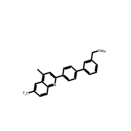 COCc1cccc(-c2ccc(-c3cc(C)c4cc(C(F)(F)F)ccc4n3)cc2)c1